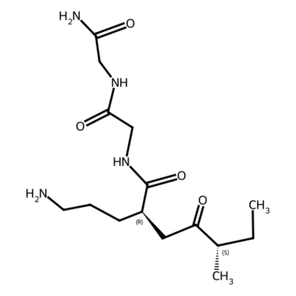 CC[C@H](C)C(=O)C[C@@H](CCCN)C(=O)NCC(=O)NCC(N)=O